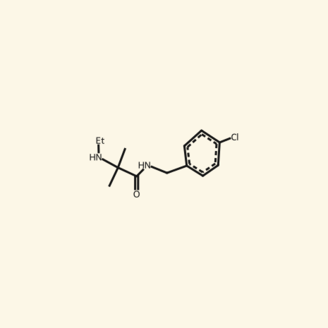 CCNC(C)(C)C(=O)NCc1ccc(Cl)cc1